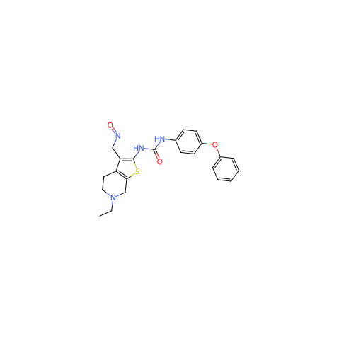 CCN1CCc2c(sc(NC(=O)Nc3ccc(Oc4ccccc4)cc3)c2CN=O)C1